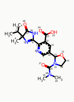 CC(C)C1(C)N=C(c2ncc(C3OCCN3C(=O)N(C)C)cc2C(=O)O)NC1=O